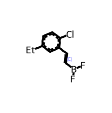 CCc1ccc(Cl)c(/C=C/B(F)F)c1